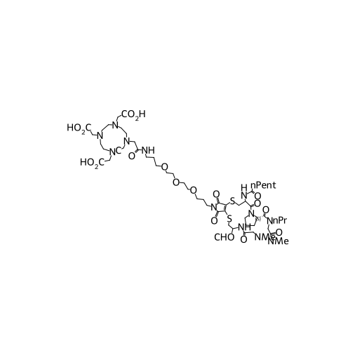 CCCCCC(=O)NC(CSC1=C(SCC(C=O)NC(=O)CNC)C(=O)N(CCCOCCOCCOCCCNC(=O)CN2CCN(CC(=O)O)CCN(CC(=O)O)CCN(CC(=O)O)CC2)C1=O)C(=O)N1CCC[C@H]1C(=O)N(CCC)CC(=O)NC